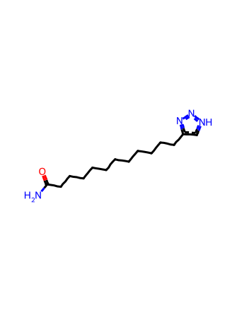 NC(=O)CCCCCCCCCCCc1c[nH]nn1